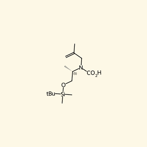 C=C(C)CN(C(=O)O)[C@@H](C)CO[Si](C)(C)C(C)(C)C